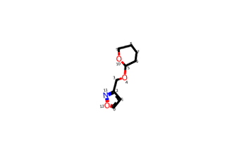 c1cc(COC2CCCCO2)no1